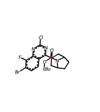 CC(C)(C)OC(=O)N1C2CCC1CC(c1nc(Cl)nc3c(F)c(Br)ccc13)C2